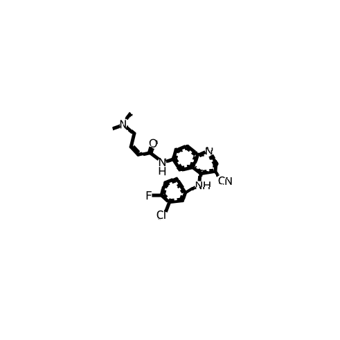 CN(C)C/C=C\C(=O)Nc1ccc2ncc(C#N)c(Nc3ccc(F)c(Cl)c3)c2c1